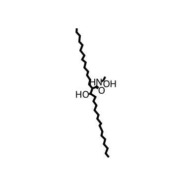 CCCCCCCCCCCCCCCC(O)C(CCCCCCCCCCCCCC)C(=O)NC(C)O